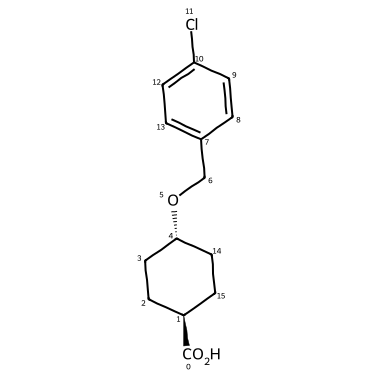 O=C(O)[C@H]1CC[C@H](OCc2ccc(Cl)cc2)CC1